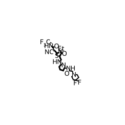 CCn1c(=C(C#N)C(=O)NCC(F)(F)F)sc(=CNc2cccc(NC(=O)CN3CCC(F)(F)CC3)n2)c1=O